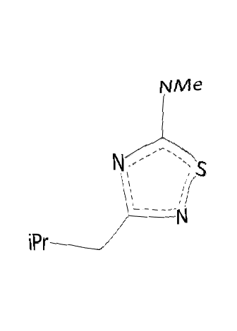 CNc1nc(CC(C)C)ns1